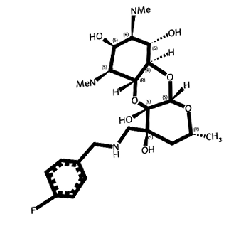 CN[C@@H]1[C@H](O)[C@H](NC)[C@H]2O[C@]3(O)[C@H](O[C@@H]2[C@H]1O)O[C@H](C)C[C@]3(O)CNCc1ccc(F)cc1